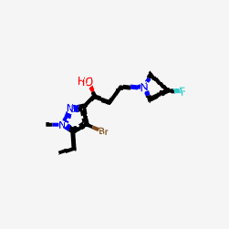 CCc1c(Br)c(C(O)CCN2CC(F)C2)nn1C